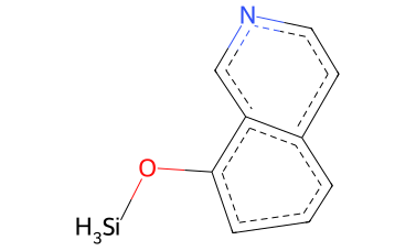 [SiH3]Oc1cccc2ccncc12